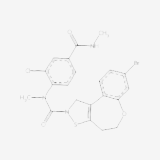 CNC(=O)c1ccc(N(C)C(=O)N2CC3=C(CCOc4cc(Br)ccc43)S2)c(Cl)c1